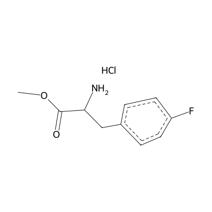 COC(=O)C(N)Cc1ccc(F)cc1.Cl